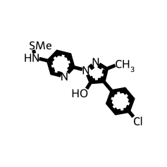 CSNc1ccc(-n2nc(C)c(-c3ccc(Cl)cc3)c2O)nc1